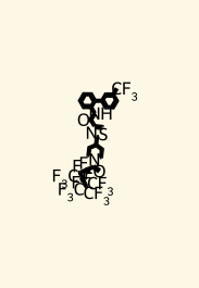 O=C(Nc1ccccc1-c1cccc(C(F)(F)F)c1)c1csc(C2CCN(C(=O)C(F)(F)C(F)(C(F)(F)F)C(F)(F)C(C(F)(F)F)(C(F)(F)F)C(F)(F)F)CC2)n1